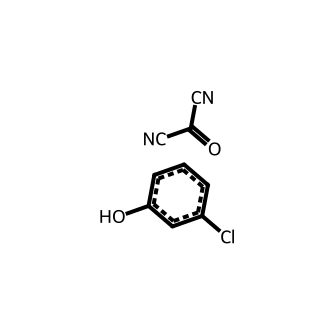 N#CC(=O)C#N.Oc1cccc(Cl)c1